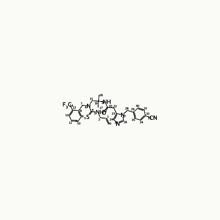 C=CCNC(=S)N(Cc1ccccc1C(F)(F)F)CC(C)(C)NC(=O)Cc1cncn1Cc1ccc(C#N)cc1